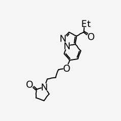 CCC(=O)c1cnn2cc(OCCCN3CCCC3=O)ccc12